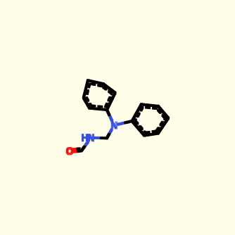 O=CNCN(c1ccccc1)c1ccccc1